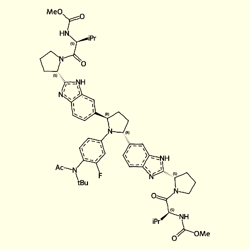 COC(=O)N[C@H](C(=O)N1CCC[C@H]1c1nc2ccc([C@H]3CC[C@H](c4ccc5nc([C@@H]6CCCN6C(=O)[C@@H](NC(=O)OC)C(C)C)[nH]c5c4)N3c3ccc(N(C(C)=O)C(C)(C)C)c(F)c3)cc2[nH]1)C(C)C